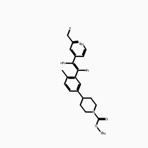 C=C(/C=C(\C=C/C(C)CC)C(/CCC)=C(/c1cc(C2CCN(C(=O)OC(C)(C)C)CC2)ccc1C)C(C)C)CF